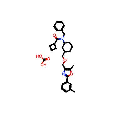 Cc1cccc(-c2nc(COCC3CCCC(N(Cc4ccccc4)C(=O)C4CCC4)C3)c(C)o2)c1.O=C(O)O